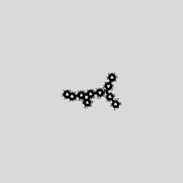 c1ccc(-c2ccc(N(c3ccc(-c4ccccc4)cc3)c3ccc(-c4ccc5c6ccc(-c7ccc8ccccc8c7)cc6c6ccccc6c5c4)cc3)cc2)cc1